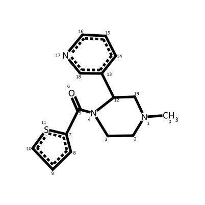 CN1CCN(C(=O)c2cccs2)C(c2cccnc2)C1